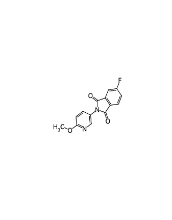 COc1ccc(N2C(=O)c3ccc(F)cc3C2=O)cn1